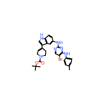 Cc1ccc(Nc2nc(Nc3ccc4[nH]cc(C5=CCN(C(=O)OC(C)(C)C)CC5)c4c3)ncc2Br)cc1